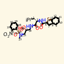 CC(C)C[C@H](NC(=O)c1cc2ccccc2s1)C(=O)NC[C@@H](O)CN(C)S(=O)(=O)c1ccccc1[N+](=O)[O-]